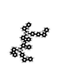 CC1(C)c2ccccc2-c2c(-c3nc(-c4ccc(-c5cccc6c5oc5ccccc56)cc4)nc(-c4ccc(CC5(C)c6ccccc6-c6c(-c7nc(-c8ccc(-c9ccc(-c%10cccc%11c%10oc%10ccccc%10%11)cc9)cc8)nc(-c8cccc9c8sc8ccccc89)n7)cccc65)c5c4sc4ccccc45)n3)cccc21